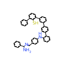 NC(/N=C/c1ccc(Nc2ccccc2-c2ccc(-c3cccc(-c4cccc(-c5ccccc5)c4S)c3)cc2)cc1)c1ccccc1